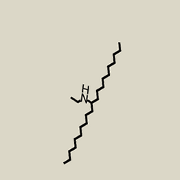 CCCCCCCCCCC(CCCCCCCCCC)NCC